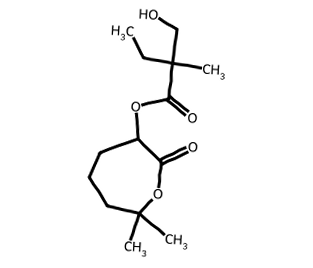 CCC(C)(CO)C(=O)OC1CCCC(C)(C)OC1=O